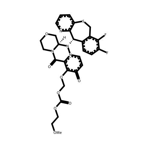 COCCOC(=O)OCOc1c2n(ccc1=O)N([C@H]1c3ccc(F)c(F)c3CSc3cccnc31)[C@@H]1COCCN1C2=O